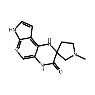 CN1CCC2(C1)Nc1c(cnc3[nH]ccc13)NC2=O